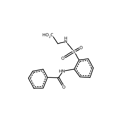 O=C(O)CNS(=O)(=O)c1ccccc1NC(=O)c1ccccc1